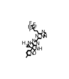 Cc1ccc(C2(C3CC3)C(=O)Nc3nc(-c4cn5ncnc5c(CCC(F)(F)C(F)(F)F)n4)nc(N)c32)nc1